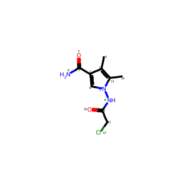 Cc1c(C(N)=O)cn(NC(=O)CCl)c1C